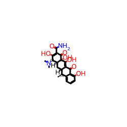 C[C@@H]1c2cccc(O)c2C(=O)C2=C(O)[C@]3(O)C(=O)C(C(N)=O)=C(O)[C@@H](N(C)C)[C@@H]3C[C@@H]21